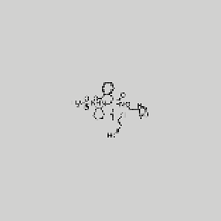 C#C/C=C(Cl)\C=C/C[C@H]1[C@H](C(=O)NOCc2ncon2)c2ccccc2C(=O)N1[C@H]1CCCC[C@@H]1NS(C)(=O)=O